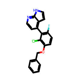 Fc1ccc(OCc2ccccc2)c(Cl)c1-c1ccnc2[nH]c[c]c12